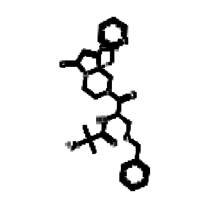 COC1=CC(=O)N2CCN(C(=O)[C@@H](COCc3ccccc3)NC(=O)C(C)(C)N)C[C@]12Cc1ccccn1